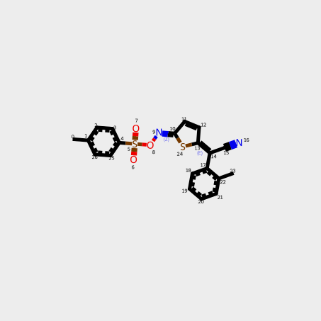 Cc1ccc(S(=O)(=O)O/N=C2C=C/C(=C(\C#N)c3ccccc3C)S/2)cc1